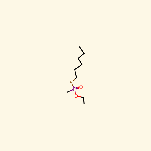 CCCCCCSP(C)(=O)OCC